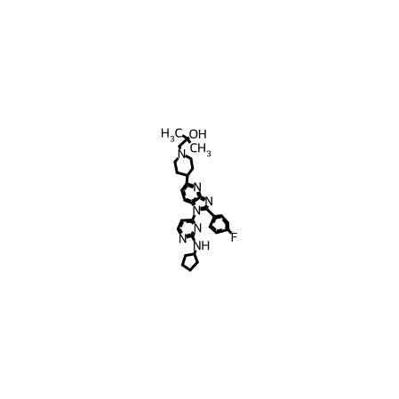 CC(C)(O)CN1CCC(c2ccc3c(n2)nc(-c2ccc(F)cc2)n3-c2ccnc(NC3CCCC3)n2)CC1